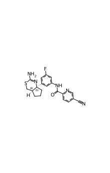 N#Cc1ccc(C(=O)Nc2cc(F)cc([C@]34CCC[C@H]3CSC(N)=N4)c2)nc1